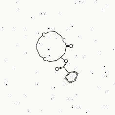 O=C1CCCCCCCCCCCCC(OC(=O)c2ccccc2)C1